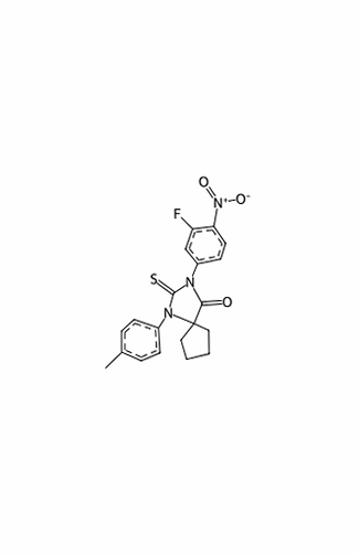 Cc1ccc(N2C(=S)N(c3ccc([N+](=O)[O-])c(F)c3)C(=O)C23CCCC3)cc1